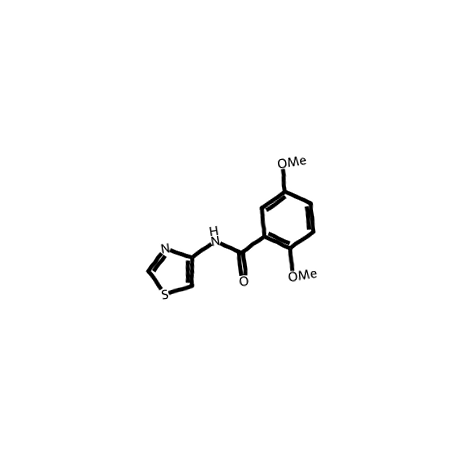 COc1ccc(OC)c(C(=O)Nc2cscn2)c1